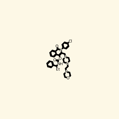 CC[C@H](NC(=O)Oc1c(CN2CCN(CCN3CCOCC3)CC2)n(-c2ccc(Cl)cc2)c(=O)c2ccccc12)c1ccccc1